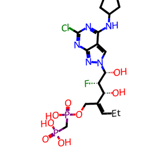 CC/C=C(/COP(=O)(O)CP(=O)(O)O)[C@@H](O)[C@H](F)[C@@H](O)n1cc2c(NC3CCCC3)nc(Cl)nc2n1